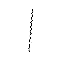 CCCCCCCCCCCCSCCOCCOC